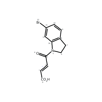 O=C(O)/C=C/C(=O)N1CCc2ccc(Br)cc21